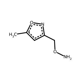 Cc1cc(CON)no1